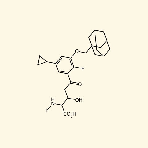 O=C(CC(O)C(NI)C(=O)O)c1cc(C2CC2)cc(OCC23CC4CC(CC(C4)C2)C3)c1F